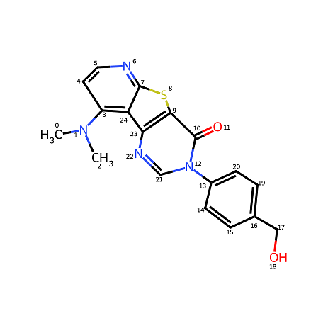 CN(C)c1ccnc2sc3c(=O)n(-c4ccc(CO)cc4)cnc3c12